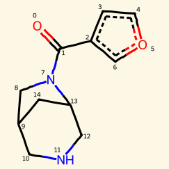 O=C(c1ccoc1)N1CC2CNCC1C2